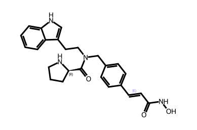 O=C(/C=C/c1ccc(CN(CCc2c[nH]c3ccccc23)C(=O)[C@H]2CCCN2)cc1)NO